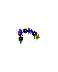 Fc1ccc(C2CSC(Nc3ccc(-c4ncn(-c5ccc(OC(F)(F)F)cc5)n4)cc3)=N2)cc1